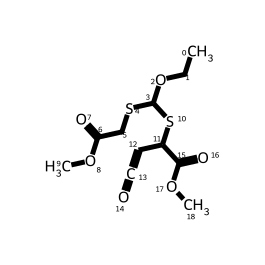 CCOC(SCC(=O)OC)SC(C=C=O)C(=O)OC